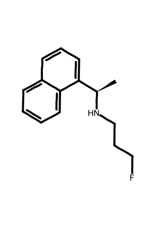 C[C@@H](NCCCF)c1cccc2ccccc12